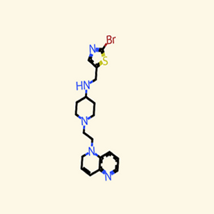 Brc1ncc(CNC2CCN(CCN3CC=Cc4ncccc43)CC2)s1